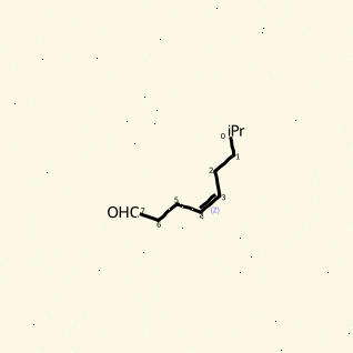 CC(C)CC/C=C\CCC=O